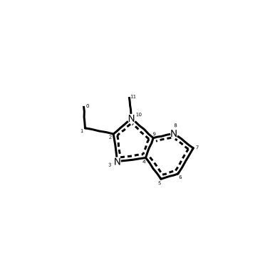 CCc1nc2cccnc2n1C